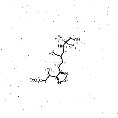 CCOC(=O)CC(C)c1nsnc1OCC(O)CNC(C)(C)CO